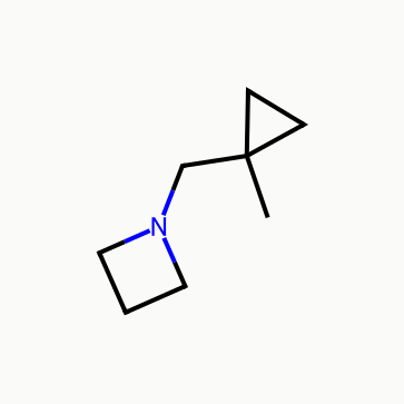 CC1(CN2CCC2)CC1